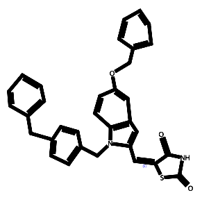 O=C1NC(=O)/C(=C\c2cc3cc(OCc4ccccc4)ccc3n2Cc2ccc(Cc3ccccc3)cc2)S1